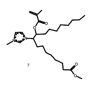 C=C(C)C(=O)OC(CCCCCCCC)C(CCCCCCCC(=O)OC)n1cc[n+](C)c1.[I-]